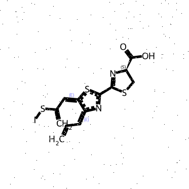 C=C/C=c1/nc(C2=N[C@@H](C(=O)O)CS2)s/c1=C/C(=C)SI